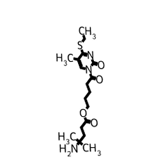 CCSc1nc(=O)n(C(=O)CCCCOC(=O)CCC(C)(C)N)cc1C